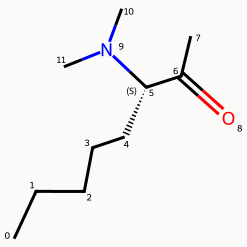 CCCCC[C@@H](C(C)=O)N(C)C